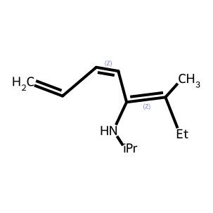 C=C/C=C\C(NC(C)C)=C(/C)CC